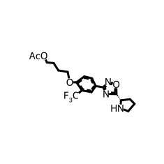 CC(=O)OCCCCOc1ccc(-c2noc([C@@H]3CCCN3)n2)cc1C(F)(F)F